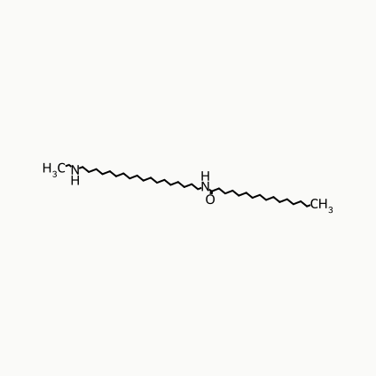 CCCCCCCCCCCCCCCC(=O)NCCCCCCCCCCCCCCCCCCNCC